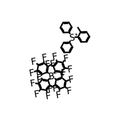 Cc1ccccc1[S+](c1ccccc1)c1ccccc1.Fc1c(F)c(F)c([B-](c2c(F)c(F)c(F)c(F)c2F)(c2c(F)c(F)c(F)c(F)c2F)c2c(F)c(F)c(F)c(F)c2F)c(F)c1F